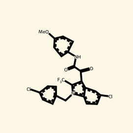 COc1ccc(NC(=O)C(=O)c2c(C(F)(F)F)n(Cc3ccc(Cl)cc3)c3ccc(Cl)cc23)cc1